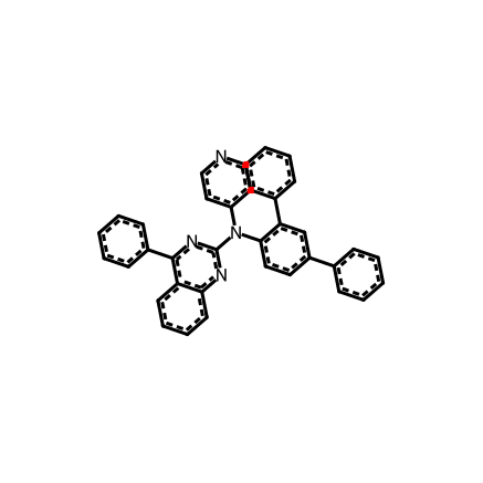 c1ccc(-c2ccc(N(c3ccncc3)c3nc(-c4ccccc4)c4ccccc4n3)c(-c3ccccc3)c2)cc1